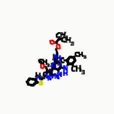 C=C(C)C(=O)OCCNc1nc(Nc2c(C)cc(C)cc2C)c(/N=N\c2nn(-c3nc4ccccc4s3)cc2C#N)c(NC(C)COC)n1